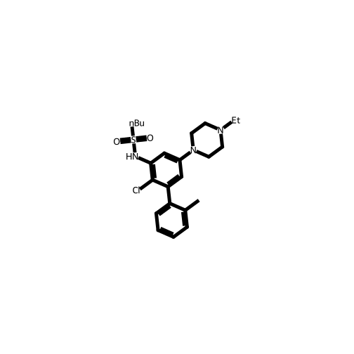 CCCCS(=O)(=O)Nc1cc(N2CCN(CC)CC2)cc(-c2ccccc2C)c1Cl